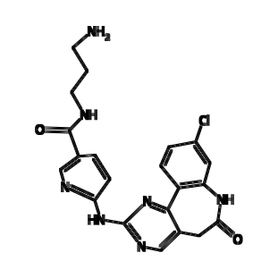 NCCCNC(=O)c1ccc(Nc2ncc3c(n2)-c2ccc(Cl)cc2NC(=O)C3)nc1